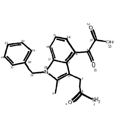 Cc1c(CC(N)=O)c2c(C(=O)C(=O)O)cccc2n1Cc1ccccc1